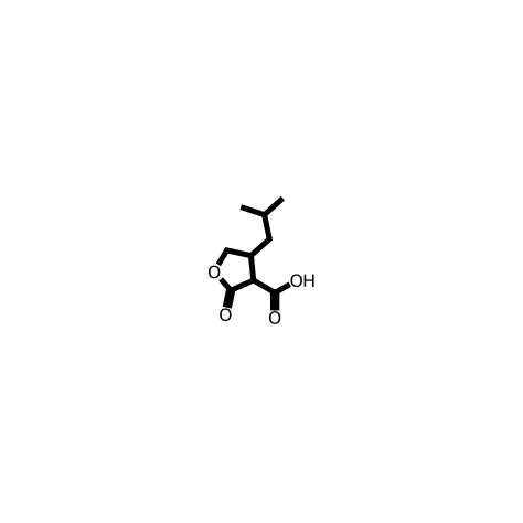 CC(C)CC1COC(=O)C1C(=O)O